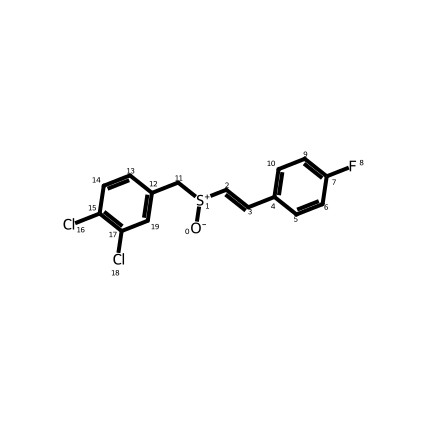 [O-][S+](/C=C/c1ccc(F)cc1)Cc1ccc(Cl)c(Cl)c1